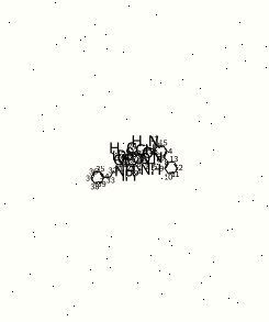 CC(C)C(NC(=O)Cn1c(-c2ccccc2)ccc(N)c1=O)C(O[Si](C)(C)C(C)(C)C)C(F)(F)C(=O)NCCc1ccccc1